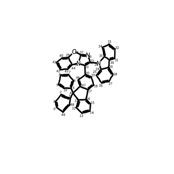 c1ccc(C2(c3ccccc3)c3ccccc3-c3ccc(-c4c(-n5c6ccccc6c6ccccc65)nc5oc6ccccc6n45)cc32)cc1